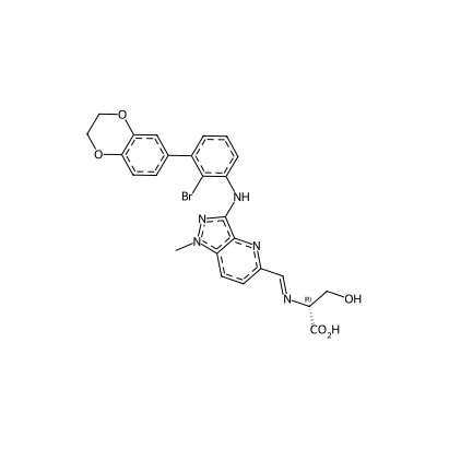 Cn1nc(Nc2cccc(-c3ccc4c(c3)OCCO4)c2Br)c2nc(C=N[C@H](CO)C(=O)O)ccc21